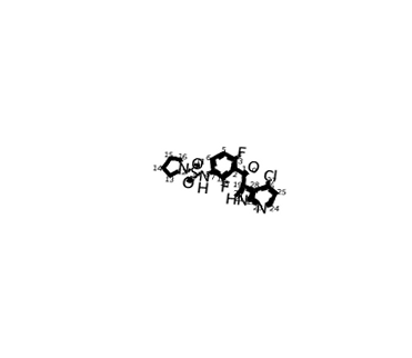 O=C(c1c(F)ccc(NS(=O)(=O)N2CCCC2)c1F)c1c[nH]c2nccc(Cl)c12